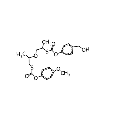 COc1ccc(OC(=O)SCC(C)OCC(C)SC(=O)Oc2ccc(CO)cc2)cc1